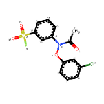 CC(=O)N(Oc1cccc(Cl)c1)c1cccc(S(=O)(=O)F)c1